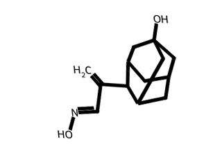 C=C(C=NO)C1C2CC3CC1CC(O)(C3)C2